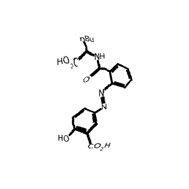 CCCCC(NC(=O)c1ccccc1N=Nc1ccc(O)c(C(=O)O)c1)C(=O)O